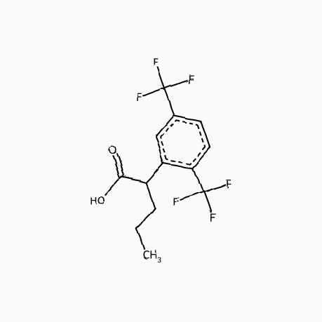 CCCC(C(=O)O)c1cc(C(F)(F)F)ccc1C(F)(F)F